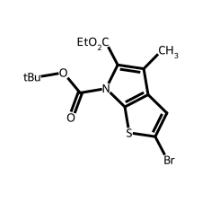 CCOC(=O)c1c(C)c2cc(Br)sc2n1C(=O)OC(C)(C)C